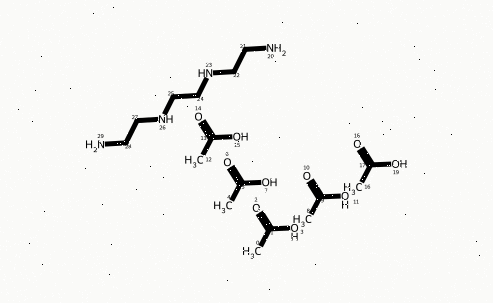 CC(=O)O.CC(=O)O.CC(=O)O.CC(=O)O.CC(=O)O.NCCNCCNCCN